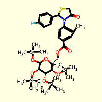 Cc1cc(C(=O)OC[C@H]2OC(O[Si](C)(C)C)[C@H](O[Si](C)(C)C)[C@@H](O[Si](C)(C)C)[C@@H]2O[Si](C)(C)C)ccc1N1C(=O)CSC1c1ccc(F)cc1